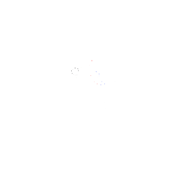 C[C@H](NC(=O)C1CCCCC(C2CCCCCCCCCC2)CCCC1)C(=O)N[C@@H](CC(=O)O)C(=O)COc1c(F)c(F)cc(F)c1F